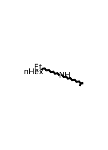 C=C(C)CCCCCCCCNCCCCCCCCC(CC)CCCCCC